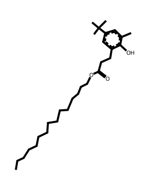 CCCCCCCCCCCCCCCOC(=O)CCc1cc(C(C)(C)C)cc(C)c1O